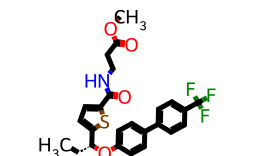 CC[C@@H](Oc1ccc(-c2ccc(C(F)(F)F)cc2)cc1)c1ccc(C(=O)NCCC(=O)OC)s1